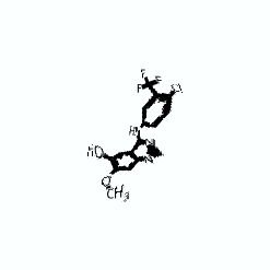 COc1cc2ncnc(Nc3ccc(Cl)c(C(F)(F)F)c3)c2cc1O